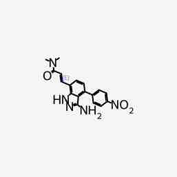 CN(C)C(=O)/C=C/c1ccc(-c2ccc([N+](=O)[O-])cc2)c2c(N)n[nH]c12